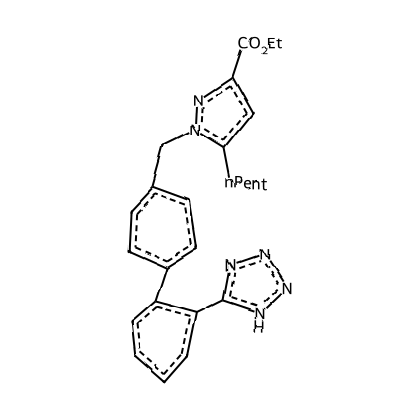 CCCCCc1cc(C(=O)OCC)nn1Cc1ccc(-c2ccccc2-c2nnn[nH]2)cc1